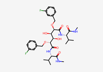 CNC(=O)[C@@H](NC(=O)[C@H](OCc1cccc(F)c1)[C@H](O)[C@@H](O)[C@@H](OCc1cccc(F)c1)C(=O)N[C@H](C(=O)NC)C(C)C)C(C)C